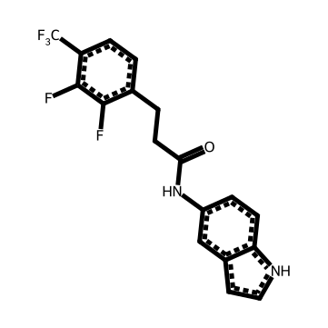 O=C(CCc1ccc(C(F)(F)F)c(F)c1F)Nc1ccc2[nH]ccc2c1